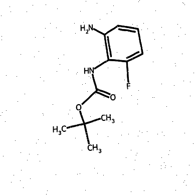 CC(C)(C)OC(=O)Nc1c(N)cccc1F